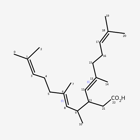 CC(C)=CCC/C(C)=C/C(C)C(/C=C(\C)CCC=C(C)C)CC(=O)O